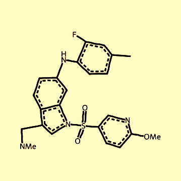 CNCc1cn(S(=O)(=O)c2ccc(OC)nc2)c2cc(Nc3ccc(C)cc3F)ccc12